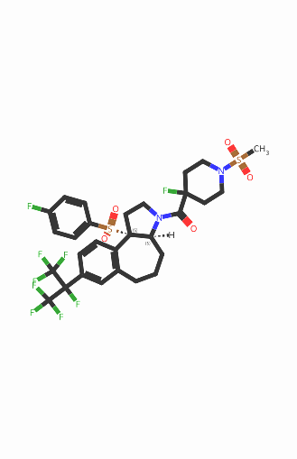 CS(=O)(=O)N1CCC(F)(C(=O)N2CC[C@]3(S(=O)(=O)c4ccc(F)cc4)c4ccc(C(F)(C(F)(F)F)C(F)(F)F)cc4CCC[C@H]23)CC1